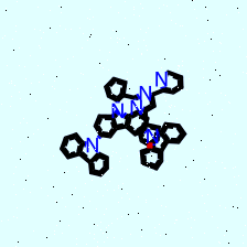 c1ccc(-c2cc(-c3ccccn3)nc(-c3ccccc3-n3c4ccc(-n5c6ccccc6c6ccccc65)cc4c4cc(-n5c6ccccc6c6ccccc65)ccc43)n2)cc1